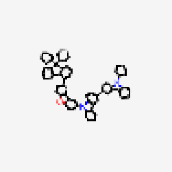 C1=CC(C2(c3ccccc3)c3ccccc3-c3c(-c4ccc5oc6ccc(-n7c8ccccc8c8cc(-c9ccc%10c(c9)c9ccccc9n%10-c9ccccc9)ccc87)cc6c5c4)cccc32)=CCC1